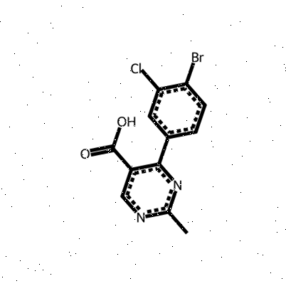 Cc1ncc(C(=O)O)c(-c2ccc(Br)c(Cl)c2)n1